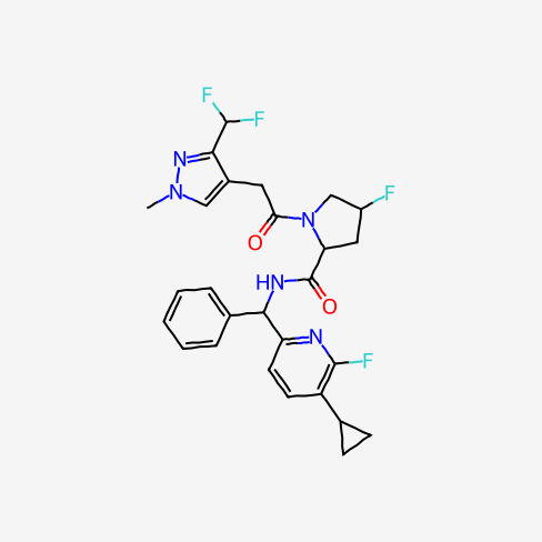 Cn1cc(CC(=O)N2CC(F)CC2C(=O)NC(c2ccccc2)c2ccc(C3CC3)c(F)n2)c(C(F)F)n1